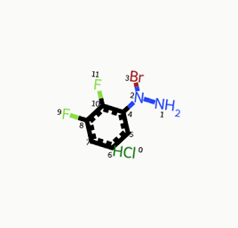 Cl.NN(Br)c1cccc(F)c1F